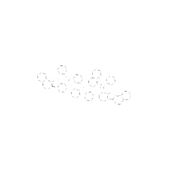 c1ccc(N(c2ccc3c(c2)C(c2ccccc2)(c2ccccc2)c2cc(N(c4ccccc4)c4cccc5c4oc4c6ccccc6ccc54)c4ccccc4c2-3)c2cccc3c2oc2c4ccccc4ccc32)cc1